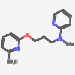 CCCCN(CCCOc1cccc(C(=O)O)n1)c1ccccn1